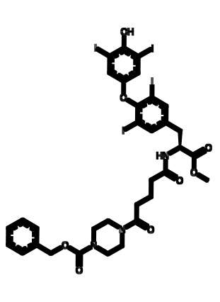 COC(=O)[C@H](Cc1cc(I)c(Oc2cc(I)c(O)c(I)c2)c(I)c1)NC(=O)CCCC(=O)N1CCN(C(=O)OCc2ccccc2)CC1